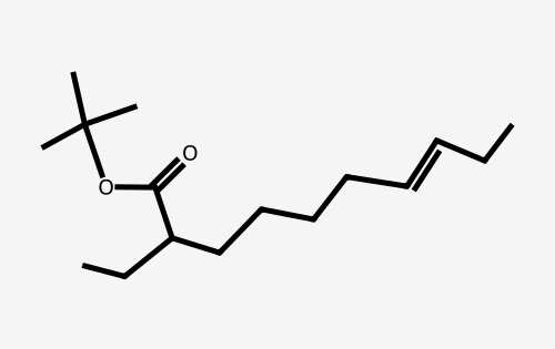 CCC=CCCCCC(CC)C(=O)OC(C)(C)C